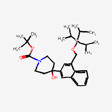 CC(C)[Si](OCc1cc(C2(O)CCN(C(=O)OC(C)(C)C)CC2)cc2ccccc12)(C(C)C)C(C)C